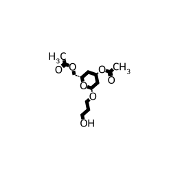 CC(=O)OC[C@@H]1C[C@H](OC(C)=O)C[C@H](OCCCO)O1